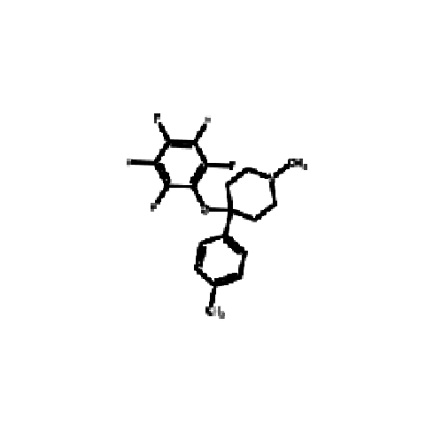 Cc1ccc(C2(Oc3c(F)c(F)c(F)c(F)c3F)CCN(C)CC2)cc1